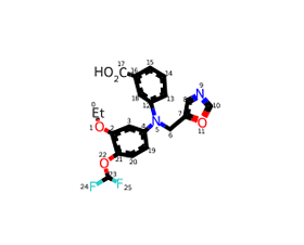 CCOc1cc(N(Cc2cnco2)c2cccc(C(=O)O)c2)ccc1OC(F)F